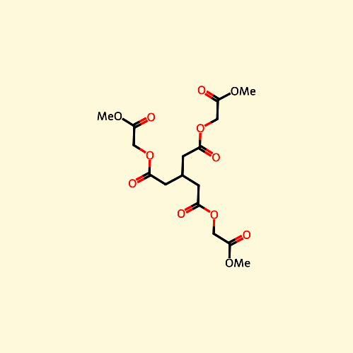 COC(=O)COC(=O)CC(CC(=O)OCC(=O)OC)CC(=O)OCC(=O)OC